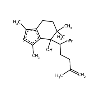 C=C(C)CCC(CCC)C1(O)c2c(C)sc(C)c2CCC1(C)C